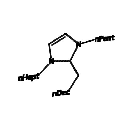 CCCCCCCCCCCC1N(CCCCC)C=CN1CCCCCCC